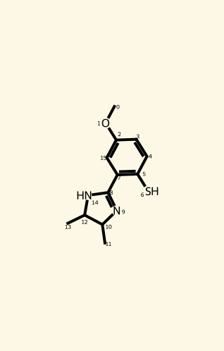 COc1ccc(S)c(C2=NC(C)C(C)N2)c1